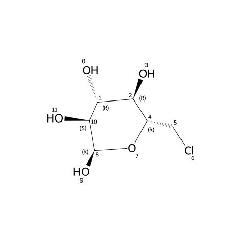 O[C@@H]1[C@@H](O)[C@H](CCl)O[C@@H](O)[C@H]1O